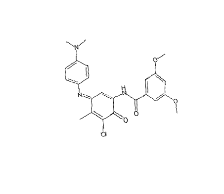 COc1cc(OC)cc(C(=O)NC2=C/C(=N\c3ccc(N(C)C)cc3)C(C)=C(Cl)C2=O)c1